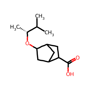 CC(C)[C@@H](C)OC1CC2CC1CC2C(=O)O